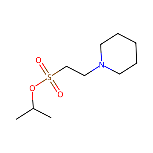 CC(C)OS(=O)(=O)CCN1CCCCC1